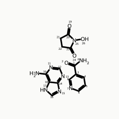 NC(=O)c1cccnc1.Nc1ncnc2nc[nH]c12.O=C1CCC(=O)N1O